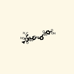 CCCN1c2nc(-c3ccc(NCc4cccc(CNC(=O)c5ccc(C(=O)O)cc5)c4)nc3)[nH]c2C(=O)N(C2CC2)C1O